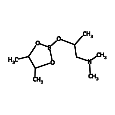 CC(CN(C)C)OB1OC(C)C(C)O1